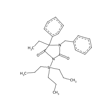 CCC[Si](CCC)(CCC)N1C(=O)N(Cc2ccccc2)C(CC)(c2ccccc2)C1=O